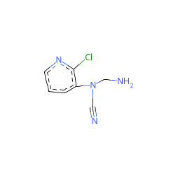 N#CN(CN)c1cccnc1Cl